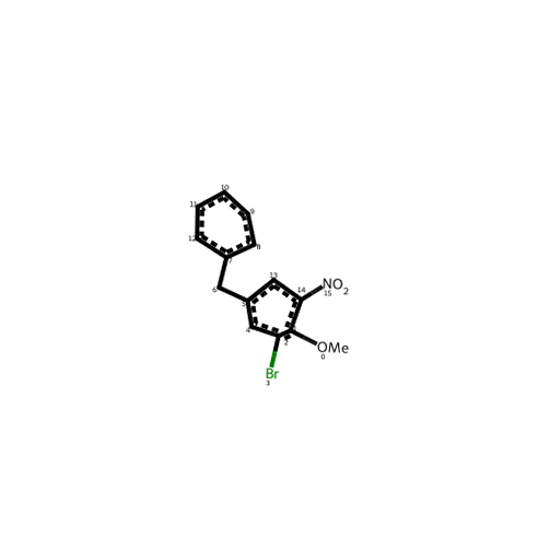 COc1c(Br)cc(Cc2ccccc2)cc1[N+](=O)[O-]